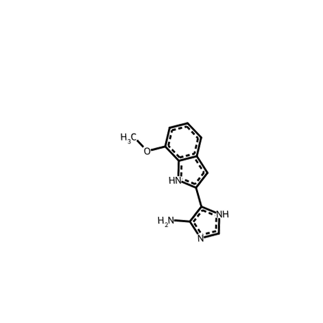 COc1cccc2cc(-c3[nH]cnc3N)[nH]c12